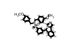 COc1ccc(CN(Cc2ccc(OC)cc2)S(=O)(=O)c2cccc(C3c4ccccc4-c4cncn43)c2)cc1